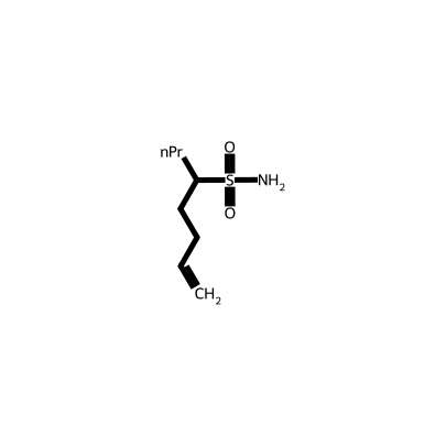 C=CCCC(CCC)S(N)(=O)=O